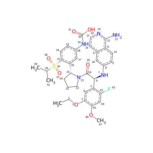 CCOc1cc([C@H](Nc2ccc3c(N)nccc3c2)C(=O)N2CCC[C@@H]2c2cc(NC(=O)O)ccc2S(=O)(=O)C(C)C)c(F)cc1OC